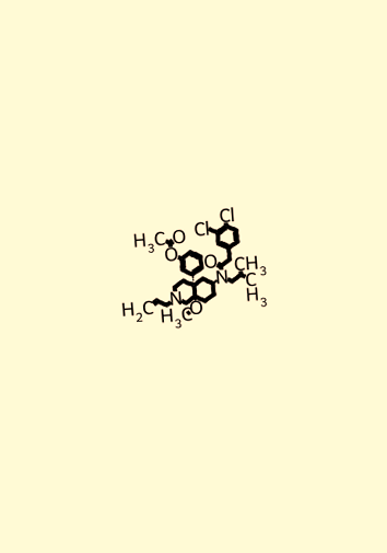 C=CCN1CC[C@@]2(c3cccc(OC(C)=O)c3)C[C@@H](N(CC(C)C)C(=O)Cc3ccc(Cl)c(Cl)c3)CC[C@]2(OC)C1